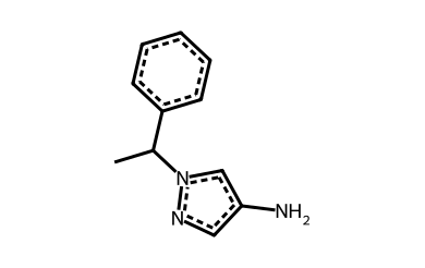 CC(c1ccccc1)n1cc(N)cn1